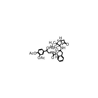 CC(=O)Oc1ccc(C(=O)CNC(=O)Nc2ccccc2CC(=O)N[C@@]2(C(=O)O)N3C(=O)C[C@H]3SC2(C)C)cc1OC(C)=O